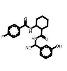 N#CC(NC(=O)C1CCCCC1NC(=O)c1ccc(F)cc1)c1cccc(O)c1